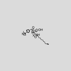 C#CCCCCCCCCC(=O)NC(C(=O)N1C[C@H](O)C[C@H]1C(=O)NCc1ccc(-c2scnc2C)cc1)C(C)(C)C